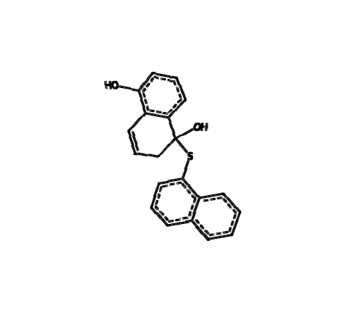 Oc1cccc2c1C=CCC2(O)Sc1cccc2ccccc12